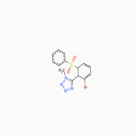 Cn1nnnc1C1C(Br)=CC=CC1S(=O)(=O)c1ccccc1